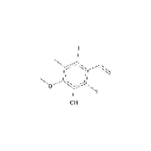 C=Cc1c(I)c(O)c(OC)c(I)c1I